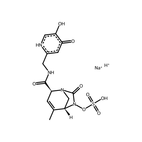 CC1=C[C@@H](C(=O)NCc2cc(=O)c(O)c[nH]2)N2C[C@@H]1N(OS(=O)(=O)O)C2=O.[H+].[Na+]